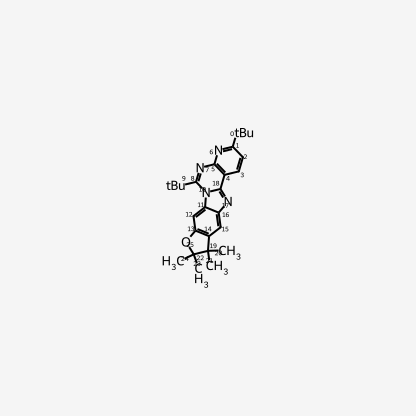 CC(C)(C)c1ccc2c(n1)nc(C(C)(C)C)n1c3cc4c(cc3nc21)C(C)(C)C(C)(C)O4